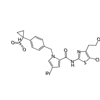 CC(=O)OCCc1nc(NC(=O)c2cc(C(C)C)cn2Cc2ccc(C3([SH](=O)=O)CC3)cc2)sc1Cl